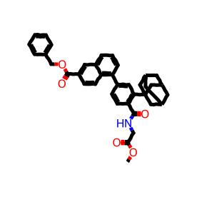 COC(=O)CNC(=O)c1ccc(-c2cccc3cc(C(=O)OCc4ccccc4)ccc23)cc1C12CC3CC(CC(C3)C1)C2